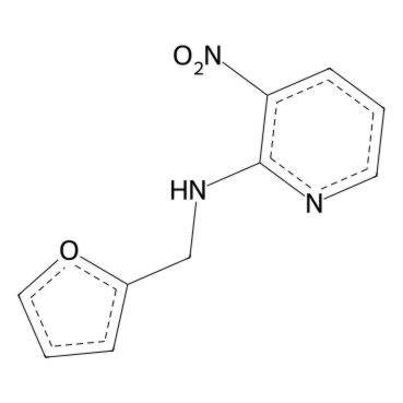 O=[N+]([O-])c1cccnc1NCc1ccco1